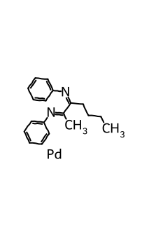 CCCCC(=Nc1ccccc1)C(C)=Nc1ccccc1.[Pd]